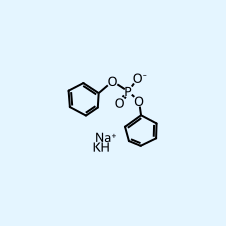 O=P([O-])(Oc1ccccc1)Oc1ccccc1.[KH].[Na+]